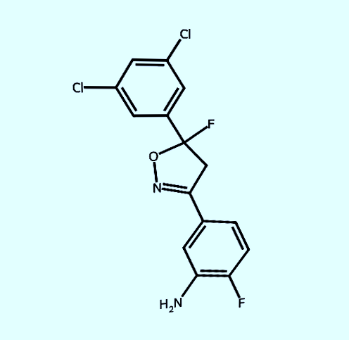 Nc1cc(C2=NOC(F)(c3cc(Cl)cc(Cl)c3)C2)ccc1F